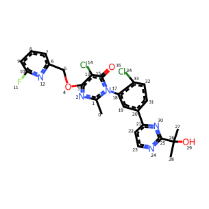 Cc1nc(OCc2cccc(F)n2)c(Cl)c(=O)n1-c1cc(-c2ccnc(C(C)(C)O)n2)ccc1Cl